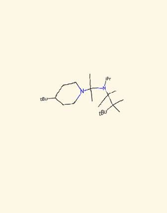 CC(C)N(C(C)(C)N1CCC(C(C)(C)C)CC1)C(C)(C)C(C)(C)C(C)(C)C